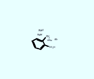 O=S(=O)(O)c1ccccc1P.[NaH].[NaH].[NaH].[Rh]